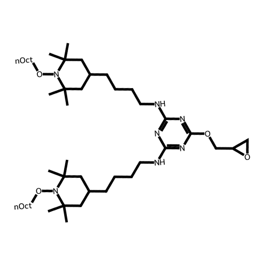 CCCCCCCCON1C(C)(C)CC(CCCCNc2nc(NCCCCC3CC(C)(C)N(OCCCCCCCC)C(C)(C)C3)nc(OCC3CO3)n2)CC1(C)C